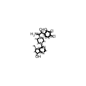 C[C@@H]1C[C@H](O)c2ncnc(N3CCN(C(N)C(C=O)c4ccc(Cl)c(Cl)c4)CC3)c21